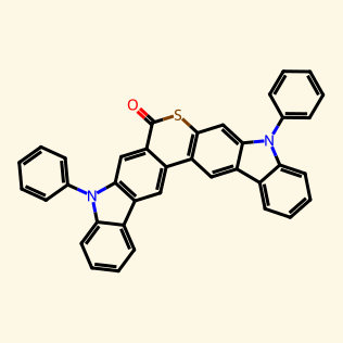 O=c1sc2cc3c(cc2c2cc4c5ccccc5n(-c5ccccc5)c4cc12)c1ccccc1n3-c1ccccc1